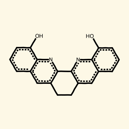 Oc1cccc2cc3c(nc12)-c1nc2c(O)cccc2cc1CC3